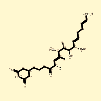 CO[C@@H](/C=C/CC/C=C/C(=O)O)[C@@H](O)[C@H](C)[C@@H](O)/C(C)=C/[C@H](C)C(=O)CCCC1CC(=O)NC(=O)C1